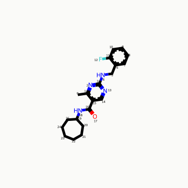 Cc1nc(NCc2ccccc2F)ncc1C(=O)NC1CCCCCC1